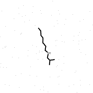 CCCCCCCNCC(C)C